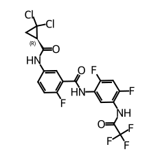 O=C(Nc1cc(NC(=O)C(F)(F)F)c(F)cc1F)c1cc(NC(=O)[C@H]2CC2(Cl)Cl)ccc1F